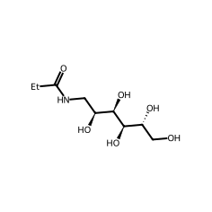 CCC(=O)NC[C@H](O)[C@@H](O)[C@H](O)[C@H](O)CO